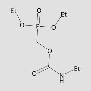 CCNC(=O)OCP(=O)(OCC)OCC